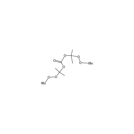 CC(C)(C)OOC(C)(C)OC(=O)OC(C)(C)OOC(C)(C)C